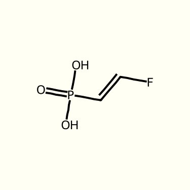 O=P(O)(O)C=CF